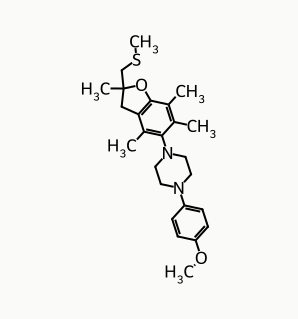 COc1ccc(N2CCN(c3c(C)c(C)c4c(c3C)CC(C)(CSC)O4)CC2)cc1